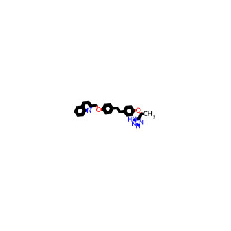 CC(Oc1ccc(CCc2ccc(OCc3ccc4ccccc4n3)cc2)cc1)c1nnn[nH]1